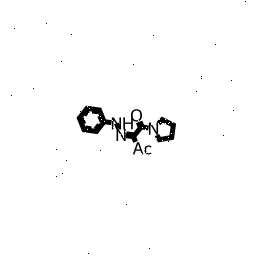 CC(=O)C(=NNc1ccccc1)C(=O)N1CCCC1